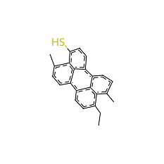 CCc1ccc2c3ccc(C)c4c(S)ccc(c5ccc(C)c1c52)c43